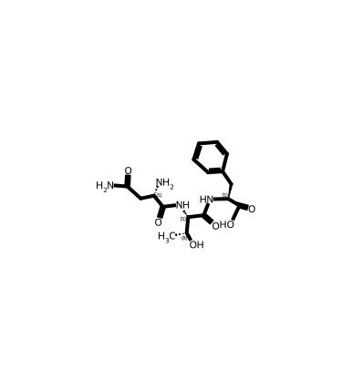 C[C@@H](O)[C@H](NC(=O)[C@@H](N)CC(N)=O)C(=O)N[C@@H](Cc1ccccc1)C(=O)O